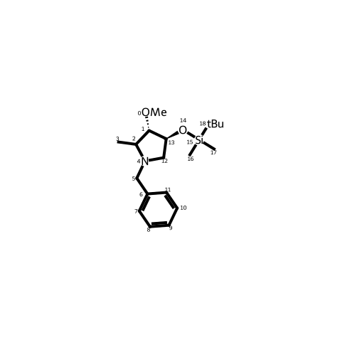 CO[C@H]1C(C)N(Cc2ccccc2)C[C@@H]1O[Si](C)(C)C(C)(C)C